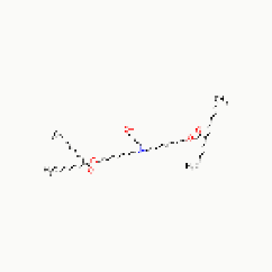 CCCCCCCCC(CCCCCC)C(=O)COCCCCCCCCCN(CCCCO)CCCCCCCCCOC(=O)C(CCCCCC)CCCCCCCC